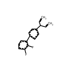 C=CC(C=C)c1ccc(-c2cccc(F)c2F)cc1